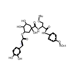 CCCCCCCCOc1ccc(NC(=O)C(COC(C)(C)C)NC(=O)C2(O)CC(O)C(O)C(OC(=O)/C=C/c3ccc(O)c(O)c3)C2)cc1